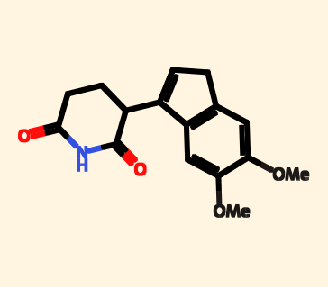 COc1cc2c(cc1OC)C(C1CCC(=O)NC1=O)=CC2